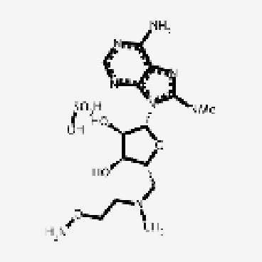 CNc1nc2c(N)ncnc2n1[C@@H]1O[C@H](CN(C)CCON)[C@@H](O)[C@H]1O.O=S(=O)(O)O